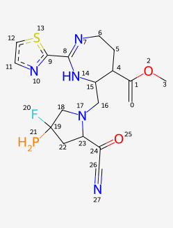 C=C(OC)C1CCN=C(c2nccs2)NC1CN1CC(F)(P)CC1C(=O)C#N